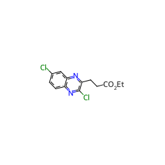 CCOC(=O)CCc1nc2cc(Cl)ccc2nc1Cl